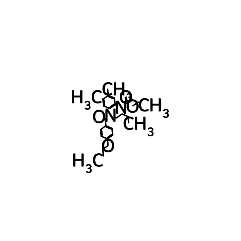 CCCOc1ccc(C(=O)N2CC(CC)N(C(=O)OCC)c3cc(C)c(C)cc32)cc1